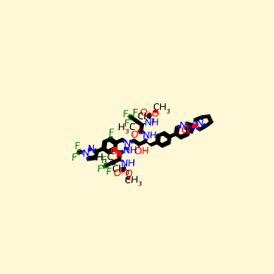 COC(=O)N[C@H](C(=O)N[C@@H](Cc1ccc(-c2ccc(N3CC4CCC(C3)N4C3COC3)nc2)cc1)[C@@H](O)CN(Cc1c(F)cc(-c2ccn(C(F)F)n2)cc1F)NC(=O)[C@@H](NC(=O)OC)C(C)(C)C(F)(F)F)C(C)(C)C(F)(F)F